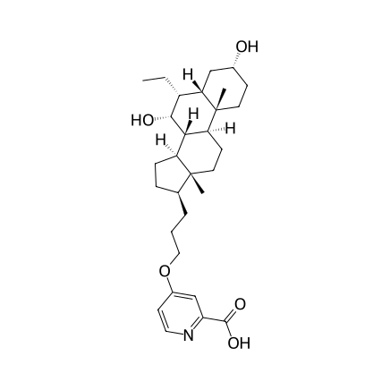 CC[C@H]1[C@@H](O)[C@@H]2[C@H](CC[C@]3(C)[C@@H](CCCOc4ccnc(C(=O)O)c4)CC[C@@H]23)[C@@]2(C)CC[C@@H](O)C[C@@H]12